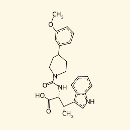 COc1cccc(C2CCN(C(=O)N[C@@H](C(=O)O)[C@@H](C)c3c[nH]c4ccccc34)CC2)c1